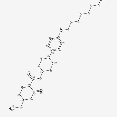 CCCCCCCCOc1ccc(C2CCC(CC(=O)C3CCC(CC)CC3=O)CC2)cc1